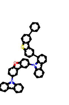 c1ccc(-c2ccc3sc4ccc(-c5cccc6c7ccccc7n(-c7ccc8oc9ccc(-n%10c%11ccccc%11c%11ccccc%11%10)cc9c8c7)c56)cc4c3c2)cc1